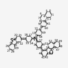 c1ccc2c(c1)ccc1cc(-c3ccc(N(c4ccc(-c5ccc6sc7ccccc7c6c5)cc4)c4ccc(-c5cccc6oc7c8ccccc8ccc7c56)cc4)cc3)ccc12